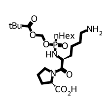 CCCCCCP(=O)(N[C@@H](CCCCN)C(=O)N1CCC[C@H]1C(=O)O)OCOC(=O)C(C)(C)C